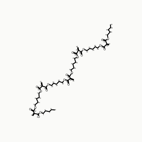 C=C(C(=O)OCCCCC)C(=O)OCCCCCOC(=O)C(=C)C(=O)OCCCCCOC(=O)C(=C)C(=O)OCCCCCOC(=O)C(=C)C(=O)OCCCCCOC(=O)C(=C)C(=O)OCCCCC